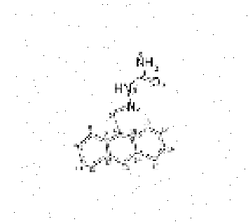 NC(=O)NN=Cc1c2ccccc2cc2ccccc12